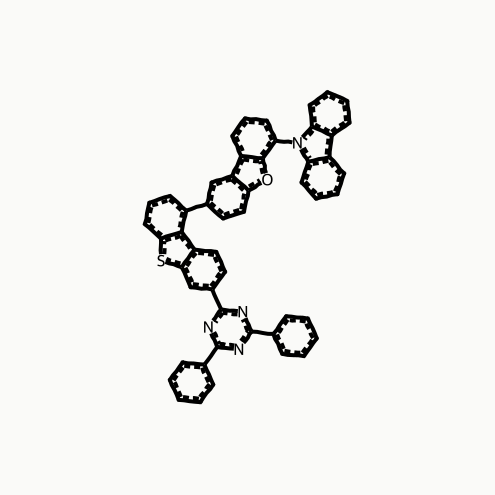 c1ccc(-c2nc(-c3ccccc3)nc(-c3ccc4c(c3)sc3cccc(-c5ccc6oc7c(-n8c9ccccc9c9ccccc98)cccc7c6c5)c34)n2)cc1